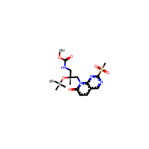 CC(C)(C)OC(=O)NC[C@](C)(Cn1c(=O)ccc2cnc(S(C)(=O)=O)nc21)O[Si](C)(C)C(C)(C)C